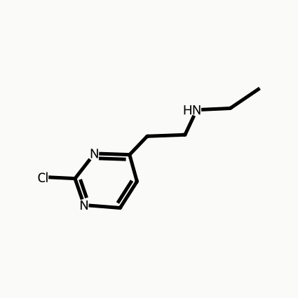 CCNCCc1ccnc(Cl)n1